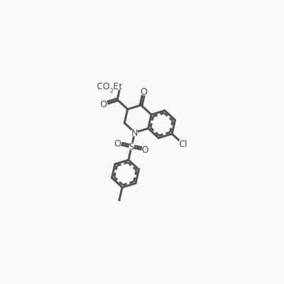 CCOC(=O)C(=O)C1CN(S(=O)(=O)c2ccc(C)cc2)c2cc(Cl)ccc2C1=O